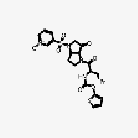 CC(C)CC(NC(=O)Oc1cccs1)C(=O)N1CCC2C1C(=O)CN2S(=O)(=O)c1ccc[n+]([O-])c1